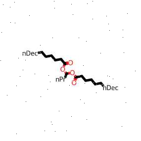 CCCCCCCCCCCCCCCC(=O)OC(CCC)OC(=O)CCCCCCCCCCCCCCC